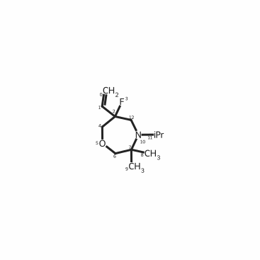 C=CC1(F)COCC(C)(C)N(C(C)C)C1